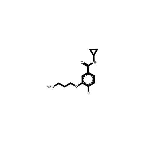 COCCCOc1cc(C(=O)NC2CC2)ccc1Cl